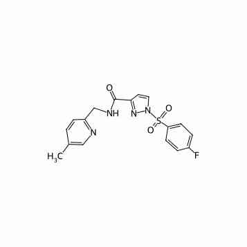 Cc1ccc(CNC(=O)c2ccn(S(=O)(=O)c3ccc(F)cc3)n2)nc1